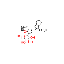 CCOc1c(OC)cc(Cc2cc3cccccc-3c2C(=O)O)cc1[C@@H]1O[C@H](CO)[C@@H](O)[C@H](O)[C@H]1O